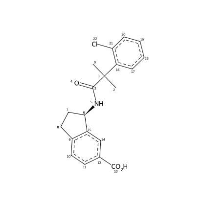 CC(C)(C(=O)N[C@@H]1CCc2ccc(C(=O)O)cc21)c1ccccc1Cl